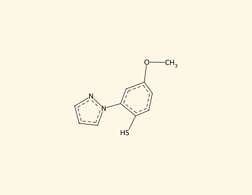 COc1ccc(S)c(-n2cccn2)c1